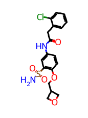 NS(=O)(=O)c1cc(NC(=O)Cc2ccccc2Cl)ccc1OCC1COC1